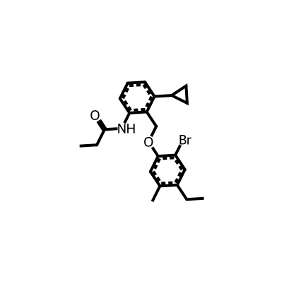 CCC(=O)Nc1cccc(C2CC2)c1COc1cc(C)c(CC)cc1Br